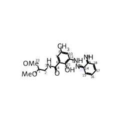 COC(CNC(=O)c1cc(C)cc(N/N=C2/C=CC=CC2=N)c1O)OC